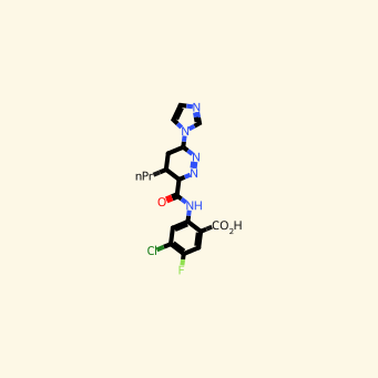 CCCC1CC(n2ccnc2)N=NC1C(=O)Nc1cc(Cl)c(F)cc1C(=O)O